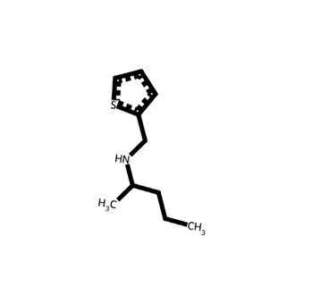 CCCC(C)NCc1cccs1